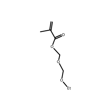 C=C(C)C(=O)OCOCOCC